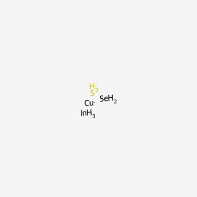 S.[Cu].[InH3].[SeH2]